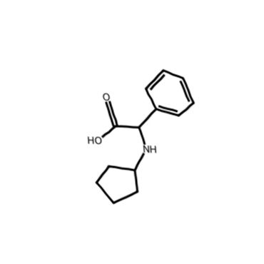 O=C(O)C(NC1CCCC1)c1ccccc1